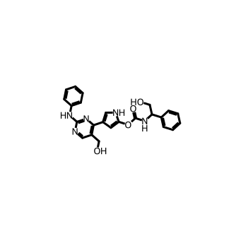 O=C(NC(CO)c1ccccc1)Oc1cc(-c2nc(Nc3ccccc3)ncc2CO)c[nH]1